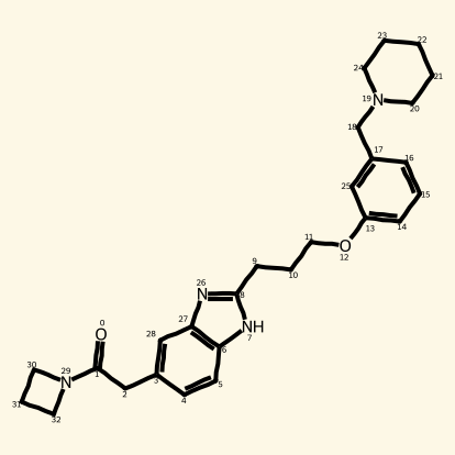 O=C(Cc1ccc2[nH]c(CCCOc3cccc(CN4CCCCC4)c3)nc2c1)N1CCC1